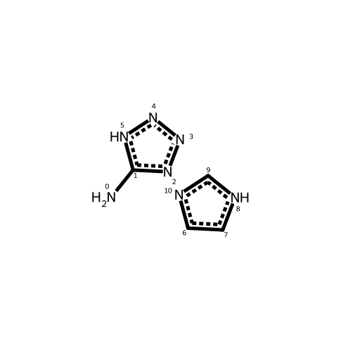 Nc1nnn[nH]1.c1c[nH]cn1